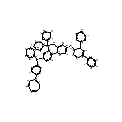 C1=CCC=C(c2ccc(N(c3ccccc3)c3ccc4c(c3)C(c3ccccc3)(c3ccccc3)CC3=CC(NC5C=CC(c6ccccc6)=CC5c5ccccc5)=CCC34)cc2)C=C1